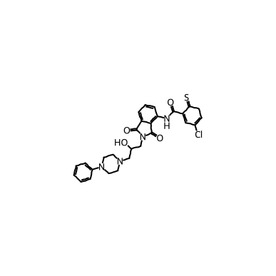 O=C(Nc1cccc2c1C(=O)N(CC(O)CN1CCN(c3ccccc3)CC1)C2=O)C1=CC(Cl)=CCC1=S